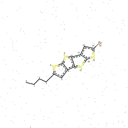 CCCCc1cc2c(s1)sc1c3cc(Br)sc3sc21